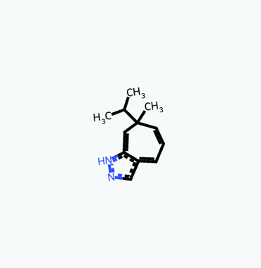 CC(C)C1(C)C=CC=c2cn[nH]c2=C1